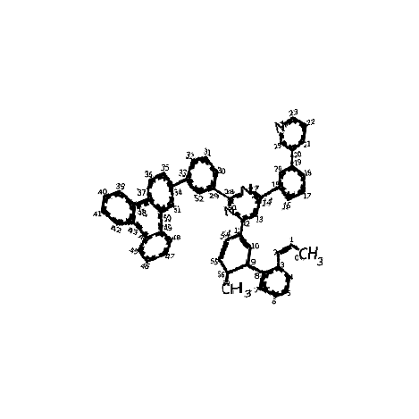 C/C=C\c1ccccc1C1C=C(c2cc(-c3cccc(-c4cccnc4)c3)nc(-c3cccc(-c4ccc5c6ccccc6c6ccccc6c5c4)c3)n2)C=CC1C